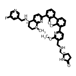 COc1nc(-c2cccc(-c3cccc(-c4ccc5c(n4)N(C)CC[C@@H]5NCc4cncc(F)c4)c3Cl)c2Cl)ccc1CNC[C@H]1CCC(=O)N1